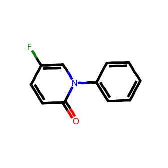 O=c1ccc(F)cn1-c1ccccc1